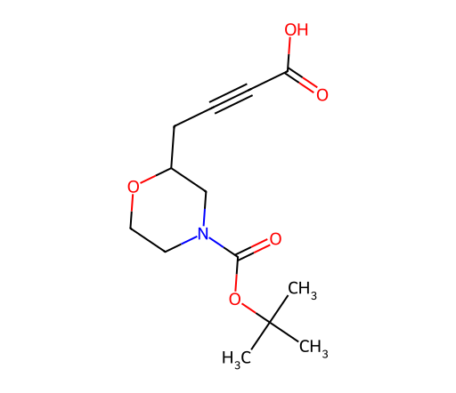 CC(C)(C)OC(=O)N1CCOC(CC#CC(=O)O)C1